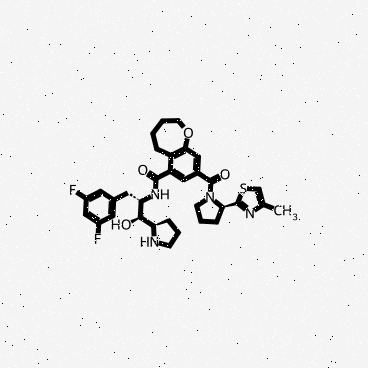 Cc1csc([C@H]2CCCN2C(=O)c2cc3c(c(C(=O)N[C@@H](Cc4cc(F)cc(F)c4)[C@H](O)[C@H]4CCCN4)c2)CCCCO3)n1